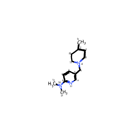 CC1CCN(Cc2ccc(N(C)C)nc2)CC1